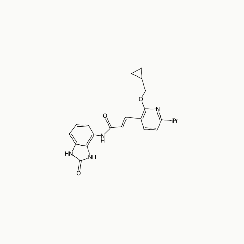 CC(C)c1ccc(/C=C/C(=O)Nc2cccc3[nH]c(=O)[nH]c23)c(OCC2CC2)n1